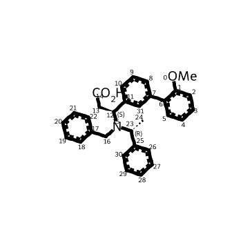 COc1ccccc1-c1cccc([C@H](CC(=O)O)N(Cc2ccccc2)[C@H](C)c2ccccc2)c1